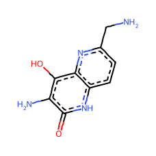 NCc1ccc2[nH]c(=O)c(N)c(O)c2n1